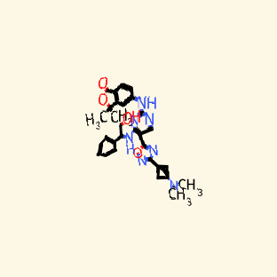 CN(C)C12CC(c3noc(-c4cnc(Nc5ccc6c(c5)C(C)(C)OC6=O)nc4NC(CO)c4ccccc4)n3)(C1)C2